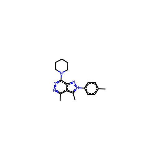 Cc1ccc(-n2nc3c(N4CC[CH]CC4)nnc(C)c3c2C)cc1